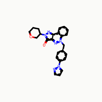 O=c1c2nn(Cc3ccc(-n4cccn4)cc3)c3ccccc3c-2nn1C1CCCOC1